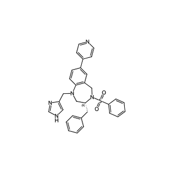 O=S(=O)(c1ccccc1)N1Cc2cc(-c3ccncc3)ccc2N(Cc2c[nH]cn2)C[C@H]1Cc1ccccc1